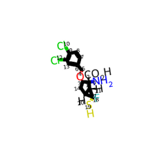 N[C@@]1(C(=O)O)[C@H](OCc2ccc(Cl)c(Cl)c2)C[C@@H]2[C@H]1[C@@]2(F)S